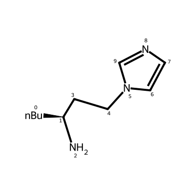 CCCC[C@H](N)CCn1ccnc1